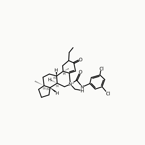 CCC1C[C@@]2(C)C(=CC1=O)[N+](CC)(C(=O)Nc1cc(Cl)cc(Cl)c1)C[C@H]1[C@@H]3CCC[C@@]3(C)CC[C@@H]12